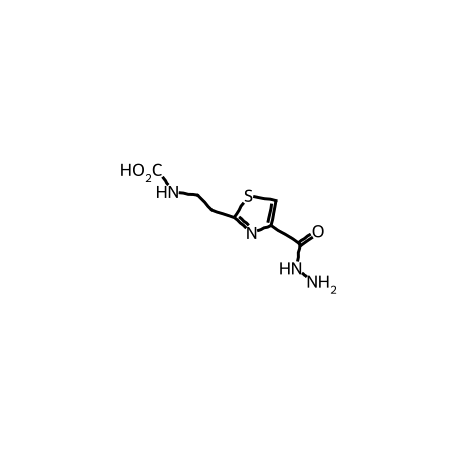 NNC(=O)c1csc(CCNC(=O)O)n1